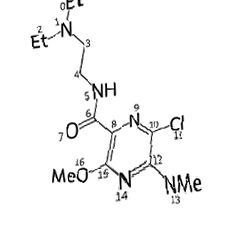 CCN(CC)CCNC(=O)c1nc(Cl)c(NC)nc1OC